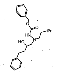 CC(C)CCN(C[C@H](O)CCc1ccccc1)NC(=O)OCc1ccccc1